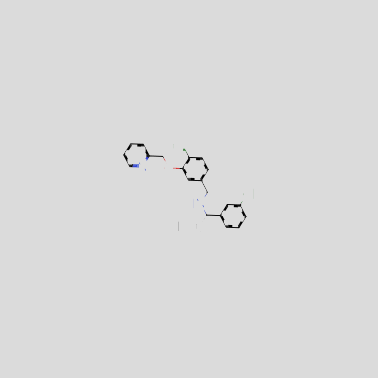 C[C@@H](NCc1ccc(Cl)c(OCc2ccccn2)c1)c1cccc(Cl)c1